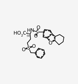 O=C(O)[C@H](CCS(=O)(=O)Cc1ccccc1)NS(=O)(=O)c1ccc2c3c(oc2c1)CCCC3